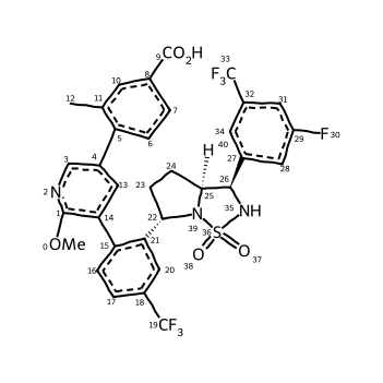 COc1ncc(-c2ccc(C(=O)O)cc2C)cc1-c1ccc(C(F)(F)F)cc1[C@@H]1CC[C@H]2[C@@H](c3cc(F)cc(C(F)(F)F)c3)NS(=O)(=O)N12